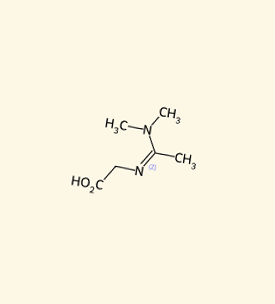 C/C(=N/CC(=O)O)N(C)C